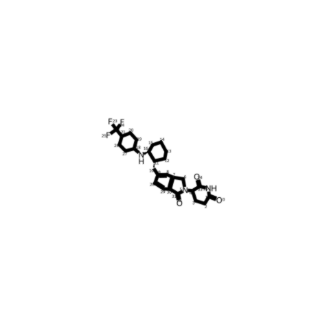 O=C1CCC(N2Cc3cc(C[C@H]4CCCC[C@@H]4NC4CCC(C(F)(F)F)CC4)ccc3C2=O)C(=O)N1